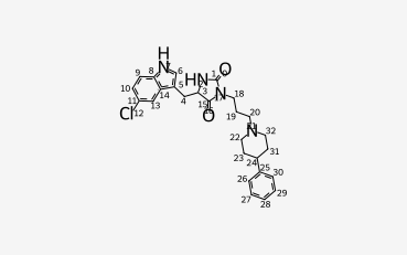 O=C1NC(Cc2c[nH]c3ccc(Cl)cc23)C(=O)N1CCCN1CCC(c2ccccc2)CC1